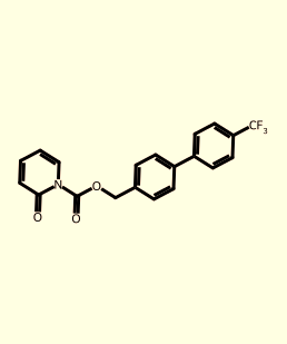 O=C(OCc1ccc(-c2ccc(C(F)(F)F)cc2)cc1)n1ccccc1=O